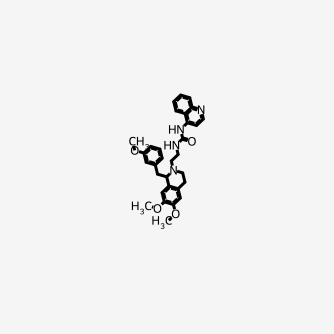 COc1cccc(CC2c3cc(OC)c(OC)cc3CCN2CCNC(=O)Nc2ccnc3ccccc23)c1